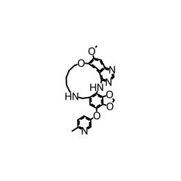 COc1cc2ncnc3c2cc1OCCCCCNCc1cc(Oc2ccc(C)nc2)c2c(c1N3)OCO2